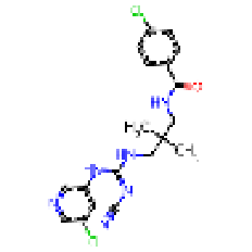 CC(C)(CNC(=O)c1ccc(Cl)cc1)CNC(=NC#N)Nc1cncc(Cl)c1